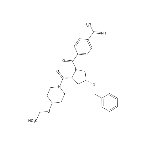 N=C(N)c1ccc(C(=O)N2C[C@H](OCc3ccccc3)C[C@@H]2C(=O)N2CCC(OCC(=O)O)CC2)cc1